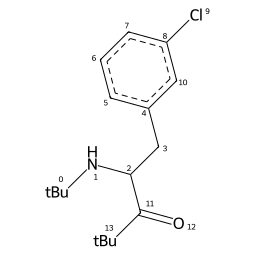 CC(C)(C)NC(Cc1cccc(Cl)c1)C(=O)C(C)(C)C